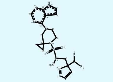 CN(CC1(C(F)F)C=CN=N1)S(=O)(=O)N1CCN(c2ncnc3[nH]ccc23)CC12CC2